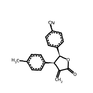 C=C1C(=O)O[C@H](c2ccc(C#N)cc2)[C@@H]1c1ccc(C)cc1